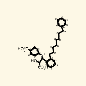 O=C(O)c1ccc(SC(c2ccccc2CCCCCCCCc2ccccc2)C(O)C(=O)O)cc1